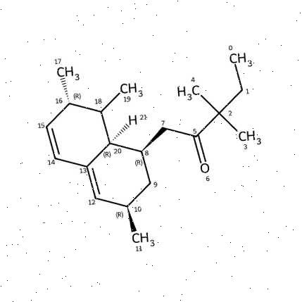 CCC(C)(C)C(=O)C[C@H]1C[C@@H](C)C=C2C=C[C@H](C)C(C)[C@H]21